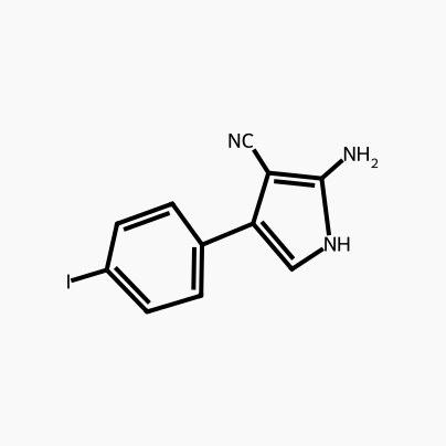 N#Cc1c(-c2ccc(I)cc2)c[nH]c1N